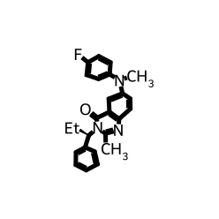 CC[C@H](c1ccccc1)n1c(C)nc2ccc(N(C)c3ccc(F)cc3)cc2c1=O